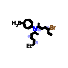 BC1=CC=C(N(/C(C)=C/C=C(/Br)C=C)C(C)/C=C\C=C/CC)C=CC1